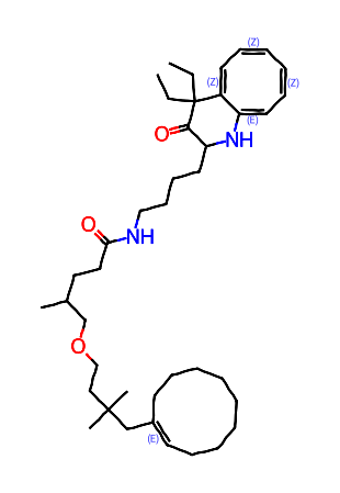 CCC1(CC)C(=O)C(CCCCNC(=O)CCC(C)COCCC(C)(C)C/C2=C/CCCCCCCC2)NC2=C/C=C\C=C/C=C\21